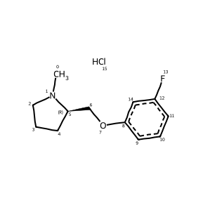 CN1CCC[C@@H]1COc1cccc(F)c1.Cl